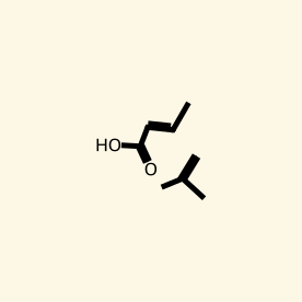 C/C=C/C(=O)O.C=C(C)C